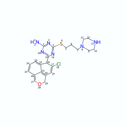 Nc1nc(SCCCN2CCNCC2)nc(C2C(Cl)=CC3=c4c2cccc4=COC3)n1